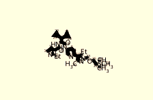 CCc1c(-c2ccc(NC(=O)C(NC(=O)c3ccnn3CC)C(C3CC3)C3CC3)cn2)c(C)nn1COCCS(C)(C)C